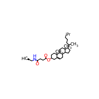 C#CCNC(=O)CCC(=O)OC1CCC2(C)C(=CCC3C2CCC2(C)C(C(C)CCCC(C)C)CCC32)C1